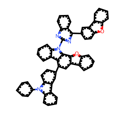 c1ccc(-n2c3ccccc3c3cc(-c4cc5c6ccccc6oc5c5c4c4ccccc4n5-c4nc(-c5ccc6oc7ccccc7c6c5)c5ccccc5n4)ccc32)cc1